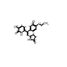 CCSc1ccc(/C(=C\[C@H]2CCC(=O)N2)c2ccc(Cl)c(=O)[nH]2)cc1Cl